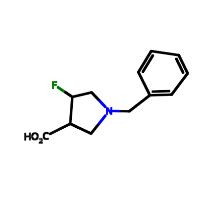 O=C(O)C1CN(Cc2ccccc2)CC1F